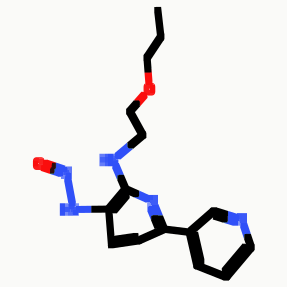 CCCOCCNc1nc(-c2cccnc2)ccc1NN=O